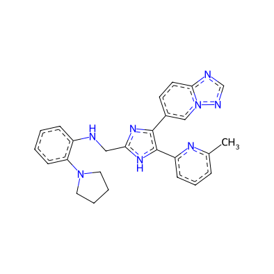 Cc1cccc(-c2[nH]c(CNc3ccccc3N3CCCC3)nc2-c2ccc3ncnn3c2)n1